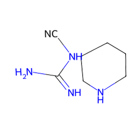 C1CCNCC1.N#CNC(=N)N